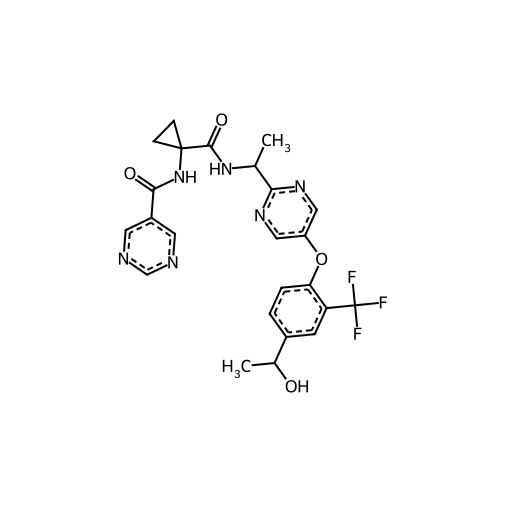 CC(O)c1ccc(Oc2cnc(C(C)NC(=O)C3(NC(=O)c4cncnc4)CC3)nc2)c(C(F)(F)F)c1